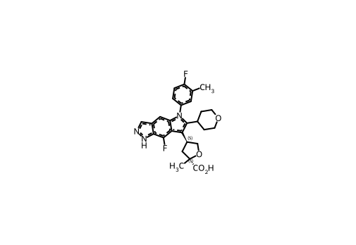 Cc1cc(-n2c(C3CCOCC3)c([C@H]3CO[C@](C)(C(=O)O)C3)c3c(F)c4[nH]ncc4cc32)ccc1F